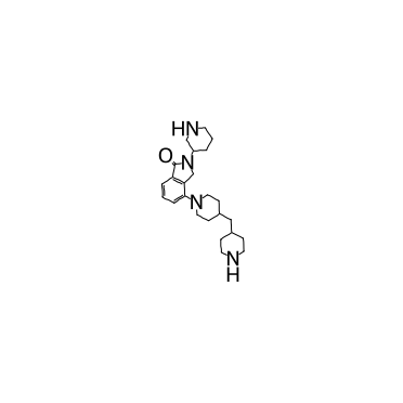 O=C1c2cccc(N3CCC(CC4CCNCC4)CC3)c2CN1C1CCCNC1